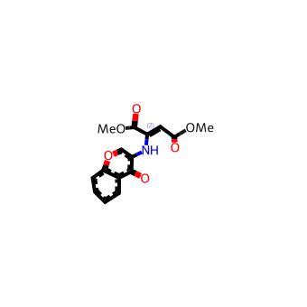 COC(=O)/C=C(\Nc1coc2ccccc2c1=O)C(=O)OC